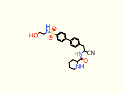 N#CC(Cc1ccc(-c2ccc(S(=O)(=O)NCCO)cc2)cc1)NC(=O)C1CCCCN1